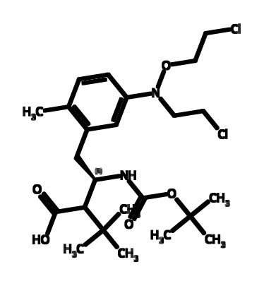 Cc1ccc(N(CCCl)OCCCl)cc1C[C@@H](NC(=O)OC(C)(C)C)C(C(=O)O)C(C)(C)C